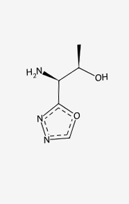 C[C@@H](O)[C@H](N)c1nnco1